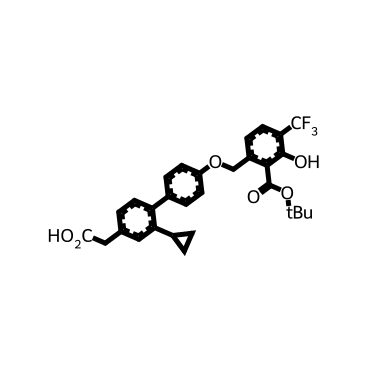 CC(C)(C)OC(=O)c1c(COc2ccc(-c3ccc(CC(=O)O)cc3C3CC3)cc2)ccc(C(F)(F)F)c1O